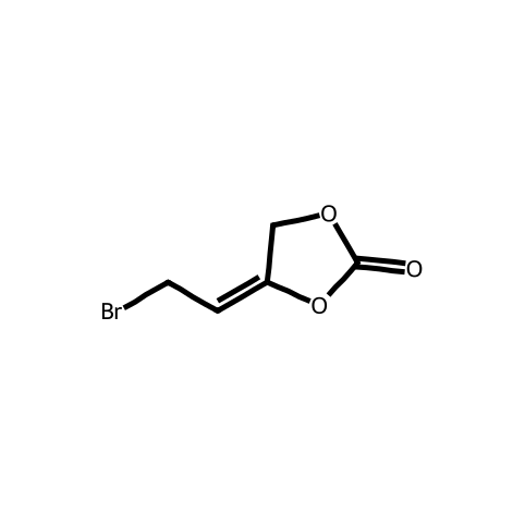 O=C1OCC(=CCBr)O1